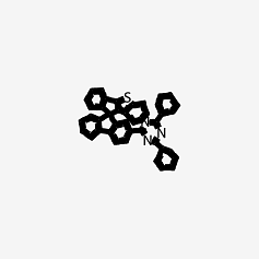 c1ccc(-c2nc(-c3ccccc3)nc(-c3ccc4c(c3)C3(c5ccccc5-4)c4ccccc4-c4sc5ccccc5c43)n2)cc1